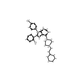 Clc1ccc(-n2c(-c3ccccc3Cl)nc3c(N4CCN(CCC5CCCCC5)CC4)ncnc32)cc1